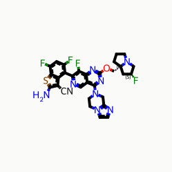 N#Cc1c(N)sc2c(F)cc(F)c(-c3ncc4c(N5CCn6ccnc6C5)nc(OC[C@]56CCCN5C[C@@H](F)C6)nc4c3F)c12